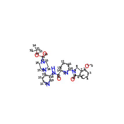 COc1cccc2c1CN(c1cccc(C(=O)Nc3cnccc3N3CCN(C(=O)OC(C)(C)C)CC3)n1)C2=O